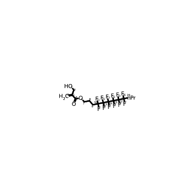 C=C(CO)C(=O)OCCCC(F)(F)C(F)(F)C(F)(F)C(F)(F)C(F)(F)C(F)(F)CCC